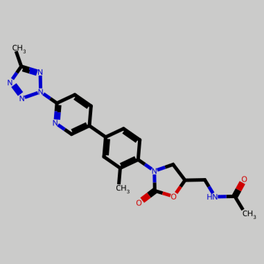 CC(=O)NCC1CN(c2ccc(-c3ccc(-n4nnc(C)n4)nc3)cc2C)C(=O)O1